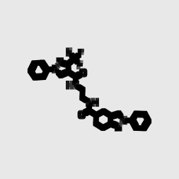 O=C(NCCNC(=O)C1CCc2nn(-c3ccccc3)cc2C1)c1cn(-c2ccccc2)nc1C(F)(F)F